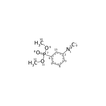 [C-]#[N+]c1cccc(P(=O)(OC)OC)c1